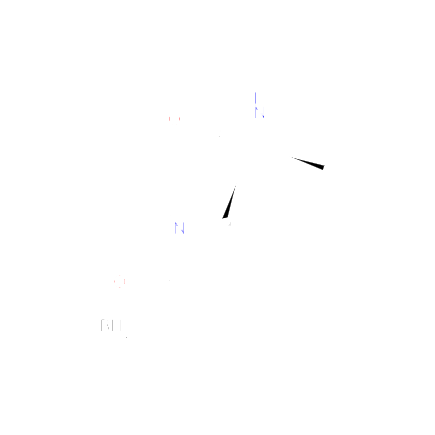 BOC=NC[C@H]1C(=O)N[C@H]1C